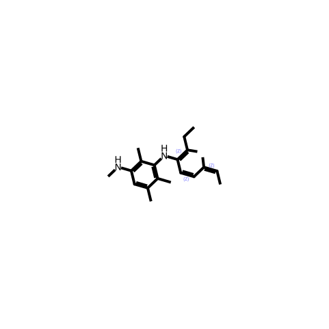 C\C=C(C)/C=C\C(Nc1c(C)c(C)cc(NC)c1C)=C(/C)CC